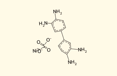 Nc1ccc(-c2ccc(N)c(N)c2)cc1N.O=S(=O)([O-])[O-].[Ni+2]